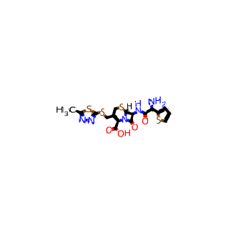 Cc1nnc(SCC2=C(C(=O)O)N3C(=O)C(NC(=O)C(N)c4cccs4)[C@H]3SC2)s1